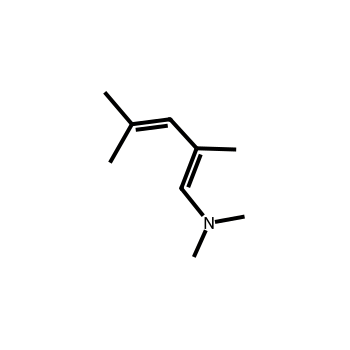 CC(C)=CC(C)=CN(C)C